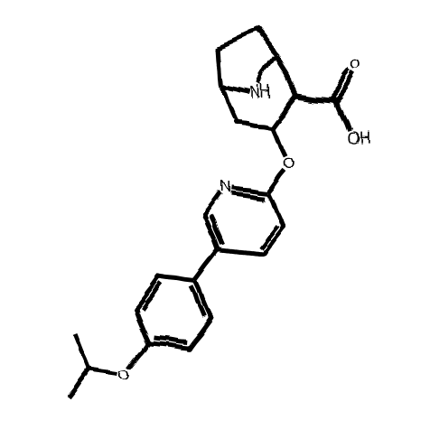 CC(C)Oc1ccc(-c2ccc(OC3CC4CCC(N4)C3C(=O)O)nc2)cc1